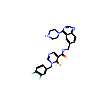 O=C(NCc1ccc2ncnc(N3CCNCC3)c2c1)c1cncn(Cc2ccc(F)c(F)c2)c1=O